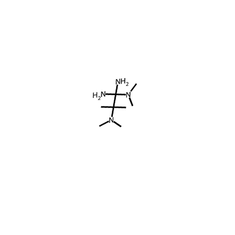 CN(C)C(C)(C)C(N)(N)N(C)C